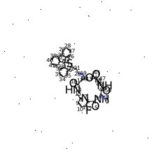 C/C=C1\NC(=O)c2nc(ccc2F)CNC(=O)C[C@@H](/C=C/CCSC(c2ccccc2)(c2ccccc2)c2ccccc2)OC(=O)[C@H](C)NC1=O